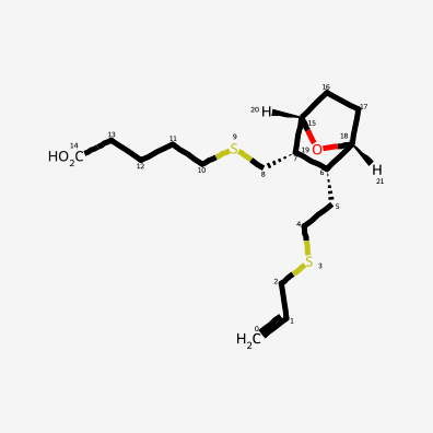 C=CCSCC[C@@H]1[C@H](CSCCCCC(=O)O)[C@@H]2CC[C@H]1O2